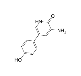 Nc1cc(-c2ccc(O)cc2)c[nH]c1=O